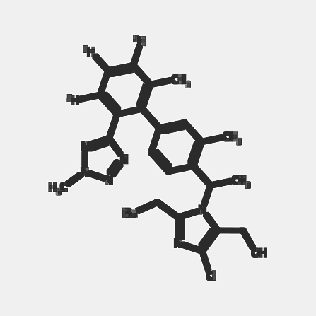 [2H]c1c([2H])c(C)c(-c2ccc(C(C)n3c(CC(C)CC)nc(Cl)c3CO)c(C)c2)c(-c2nnn(C)n2)c1[2H]